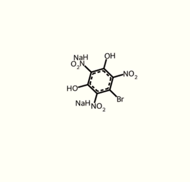 O=[N+]([O-])c1c(O)c([N+](=O)[O-])c(Br)c([N+](=O)[O-])c1O.[NaH].[NaH]